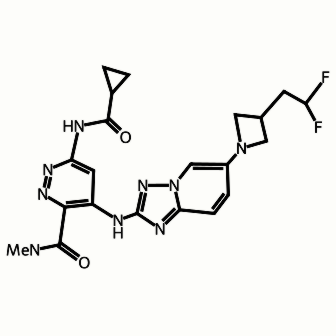 CNC(=O)c1nnc(NC(=O)C2CC2)cc1Nc1nc2ccc(N3CC(CC(F)F)C3)cn2n1